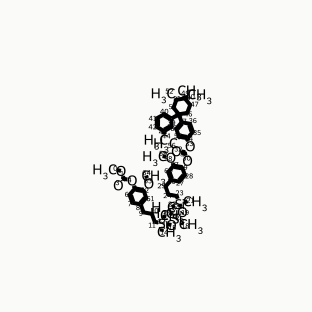 COC(=O)Oc1ccc(CCC[Si](C)(C)O[Si](C)(C)O[Si](C)(C)CCCc2ccc(OC(=O)Oc3ccc(C4(c5cccc(C)c5)CCC(C)(C)C(C)C4)cc3C)c(OC)c2)cc1OC